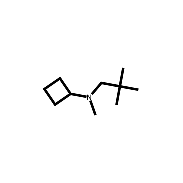 CN(CC(C)(C)C)C1CCC1